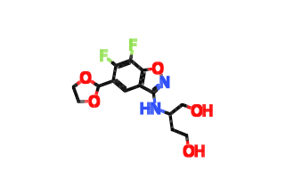 OCCC(CO)Nc1noc2c(F)c(F)c(C3OCCO3)cc12